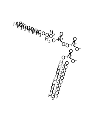 O.O.O.O.O.O.O.O.O.O.O.O.O.O.O.O.O.O.O.O=[N+]([O-])[O-].O=[N+]([O-])[O-].O=[N+]([O-])[O-].[Al+3]